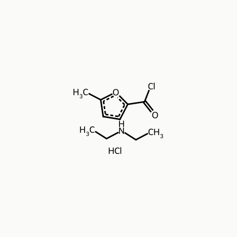 CCNCC.Cc1ccc(C(=O)Cl)o1.Cl